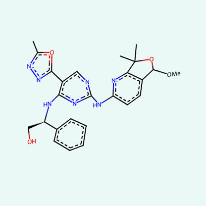 COC1OC(C)(C)c2nc(Nc3ncc(-c4nnc(C)o4)c(N[C@H](CO)c4ccccc4)n3)ccc21